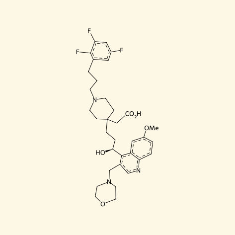 COc1ccc2ncc(CN3CCOCC3)c([C@@H](O)CCC3(CC(=O)O)CCN(CCCc4cc(F)cc(F)c4F)CC3)c2c1